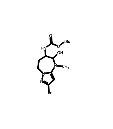 CN1c2cc(Br)nn2CCC(NC(=O)OC(C)(C)C)C1O